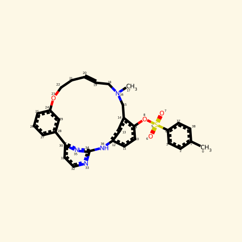 Cc1ccc(S(=O)(=O)Oc2ccc3cc2CN(C)C/C=C/CCOc2cccc(c2)-c2ccnc(n2)N3)cc1